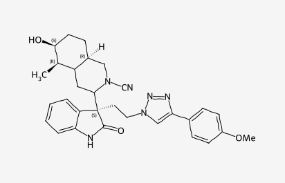 COc1ccc(-c2cn(CC[C@]3(C4CC5[C@@H](CC[C@H](O)[C@@H]5C)CN4C#N)C(=O)Nc4ccccc43)nn2)cc1